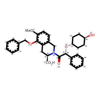 COc1ccc2c(c1OCc1ccccc1)C[C@H](C(=O)O)N(C(=O)[C@H](O[C@H]1CC[C@H](O)CC1)c1ccccc1)C2